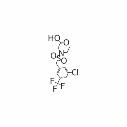 CCN(CC(=O)O)S(=O)(=O)Cc1cc(Cl)cc(C(F)(F)F)c1